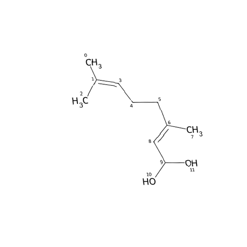 CC(C)=CCCC(C)=CC(O)O